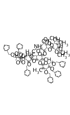 CC(=N)O[C@H]1CC(C)[C@H](OC(C)=O)C(O[C@@H]2OC(C)[C@H](C)[C@@H]3OC(C)(C)OC23)[C@H]1O[C@@H]1OC(C)[C@H](O[C@@H]2OC[C@@H](C)C(O[C@@H]3OCC4(COCc5ccccc5)O[C@@H](c5ccccc5)O[C@H]34)[C@H]2OCc2ccccc2)C(O[C@@H]2OC(COCc3ccccc3)[C@@H](OCc3ccccc3)C(OCc3ccccc3)[C@H]2C)[C@@H]1C